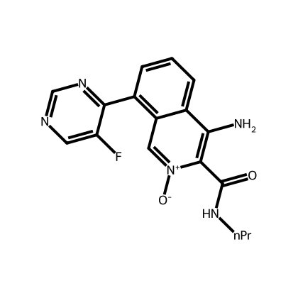 CCCNC(=O)c1c(N)c2cccc(-c3ncncc3F)c2c[n+]1[O-]